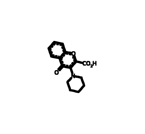 O=C(O)c1oc2ccccc2c(=O)c1N1CCCCC1